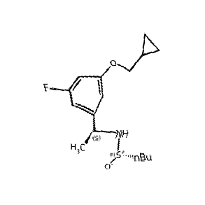 CCCC[S@+]([O-])N[C@@H](C)c1cc(F)cc(OCC2CC2)c1